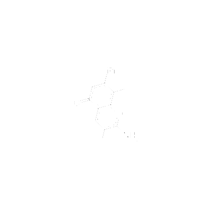 CCc1cc2c(=O)cc(C(C)C)c(F)c-2oc1N